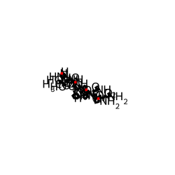 C[C@@H](O)[C@H](NC(=O)[C@H](Cc1c[nH]cn1)NC(=O)[C@H](CO)NC(=O)[C@H](Cc1ccccc1)NC(=O)[C@@H]1CCCN1C(=O)[C@@H]1CCCN1C(=O)[C@H](CCC(N)=O)NC(=O)[C@@H]1CCCN1C(=O)[C@@H](N)CCC(N)=O)C(=O)O